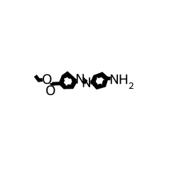 CCOC(=O)c1ccc(N=Nc2ccc(N)cc2)cc1